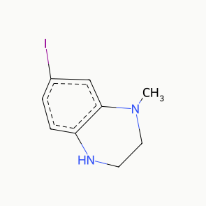 CN1CCNc2ccc(I)cc21